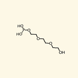 OCCOCCOCCOP(O)O